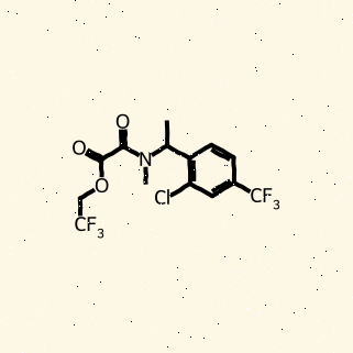 CC(c1ccc(C(F)(F)F)cc1Cl)N(C)C(=O)C(=O)OCC(F)(F)F